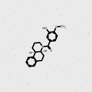 COc1ccc(C(=O)N2CCC[C@@H]3c4ccccc4CC[C@@H]32)cc1O